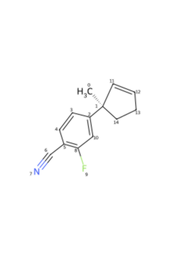 C[C@]1(c2ccc(C#N)c(F)c2)C=CCC1